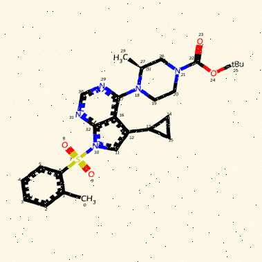 Cc1ccccc1S(=O)(=O)n1cc(C2CC2)c2c(N3CCN(C(=O)OC(C)(C)C)C[C@@H]3C)ncnc21